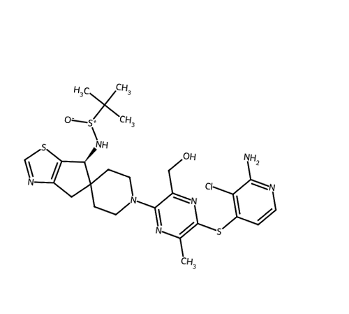 Cc1nc(N2CCC3(CC2)Cc2ncsc2[C@H]3N[S+]([O-])C(C)(C)C)c(CO)nc1Sc1ccnc(N)c1Cl